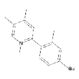 CCC(C)c1ccc(-c2cc(C)c(C)c[n+]2C)c(C)c1